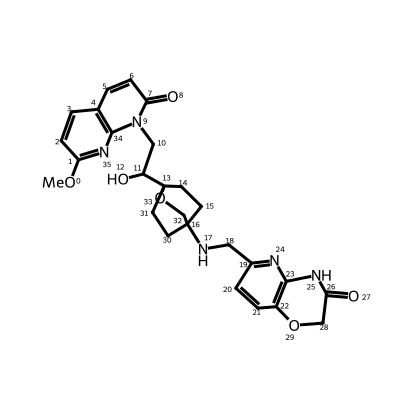 COc1ccc2ccc(=O)n(CC(O)C34CCC(NCc5ccc6c(n5)NC(=O)CO6)(CC3)CO4)c2n1